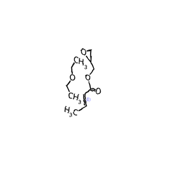 C/C=C/C(=O)OCC1CO1.CCOCC